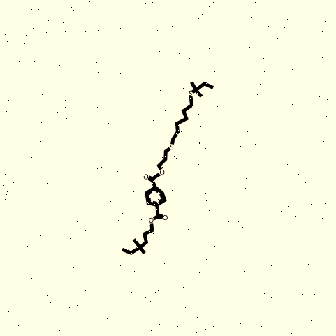 CCC(C)(C)CCCOC(=O)c1ccc(C(=O)OCCCSCCCCCCSC(C)(C)CC)cc1